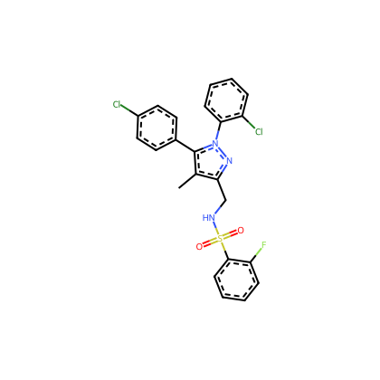 Cc1c(CNS(=O)(=O)c2ccccc2F)nn(-c2ccccc2Cl)c1-c1ccc(Cl)cc1